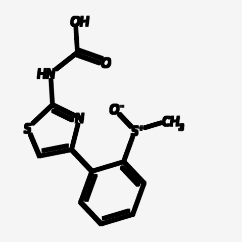 C[S+]([O-])c1ccccc1-c1csc(NC(=O)O)n1